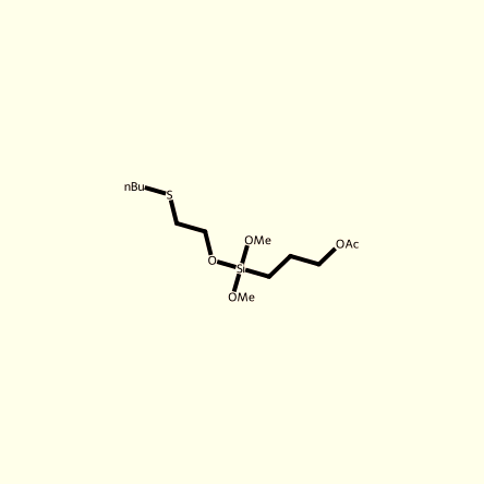 CCCCSCCO[Si](CCCOC(C)=O)(OC)OC